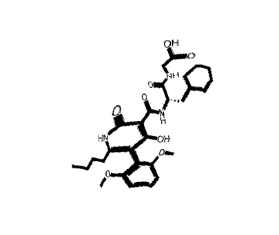 CCCCc1[nH]c(=O)c(C(=O)N[C@@H](CC2CCCCC2)C(=O)NCC(=O)O)c(O)c1-c1c(OC)cccc1OC